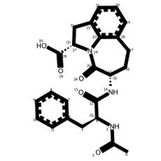 CC(=O)N[C@@H](Cc1ccccc1)C(=O)N[C@H]1CCc2cccc3c2N(C1=O)[C@H](C(=O)O)C3